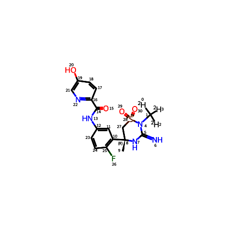 [2H]C([2H])([2H])N1C(=N)N[C@](C)(c2cc(NC(=O)c3ccc(O)cn3)ccc2F)CS1(=O)=O